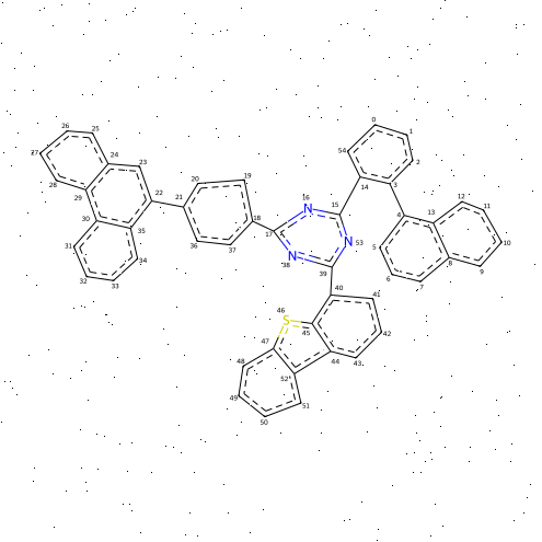 c1ccc(-c2cccc3ccccc23)c(-c2nc(-c3ccc(-c4cc5ccccc5c5ccccc45)cc3)nc(-c3cccc4c3sc3ccccc34)n2)c1